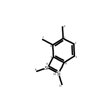 Cc1ccc2c(c1C)[Si](C)=[Si]2C